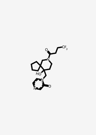 O=C(CCC(F)(F)F)N1CCC(O)(Cn2ccncc2=O)C2(CCCC2)C1